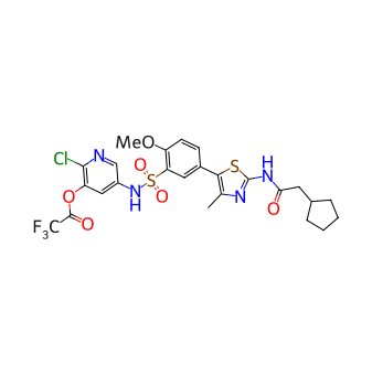 COc1ccc(-c2sc(NC(=O)CC3CCCC3)nc2C)cc1S(=O)(=O)Nc1cnc(Cl)c(OC(=O)C(F)(F)F)c1